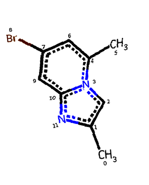 Cc1cn2c(C)cc(Br)cc2n1